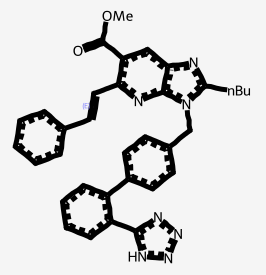 CCCCc1nc2cc(C(=O)OC)c(/C=C/c3ccccc3)nc2n1Cc1ccc(-c2ccccc2-c2nnn[nH]2)cc1